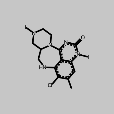 Cc1cc2c3c(nc(=O)n2I)N2CCN(I)CC2CNc3c1Cl